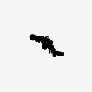 CC(C)(C)OC(=O)NCc1ccc(N2C(=O)C(CC(=O)O)C(=O)N(CCc3ccc(-c4ccccc4)cc3)c3ccccc32)cc1